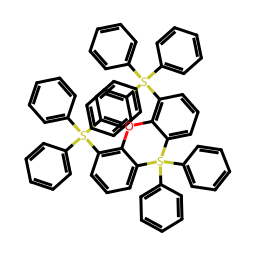 c1ccc(S(c2ccccc2)(c2ccccc2)c2cccc3c2Oc2c(S(c4ccccc4)(c4ccccc4)c4ccccc4)cccc2S3(c2ccccc2)c2ccccc2)cc1